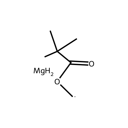 [CH2]OC(=O)C(C)(C)C.[MgH2]